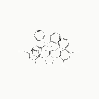 Cc1cc(C)c(N2CCN(c3c(C)cc(C)cc3C)[C]2=[Ru]([Cl])([Cl])(=[CH]c2ccccc2)[PH](c2ccccc2)(c2ccccc2)c2ccccc2)c(C)c1